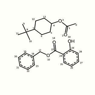 CC(=O)OC1CCC(C(C)(C)C)CC1.O=C(OCc1ccccc1)c1ccccc1O